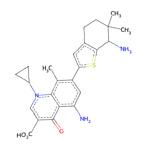 Cc1c(-c2cc3c(s2)C(N)C(C)(C)CC3)cc(N)c2c(=O)c(C(=O)O)cn(C3CC3)c12